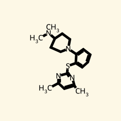 Cc1cc(C)nc(Sc2ccccc2N2CCC(N(C)C)CC2)n1